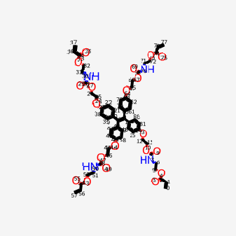 C=CC(=O)OCCNC(=O)OCCOc1ccc(C(=C(c2ccc(OCCOC(=O)NCCOC(=O)C=C)cc2)c2ccc(OCCOC(=O)NCCOC(=O)C=C)cc2)c2ccc(OCCOC(=O)NCCOC(=O)C=C)cc2)cc1